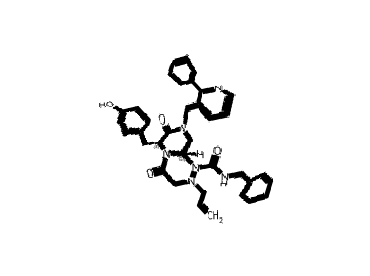 C=CCN1CC(=O)N2[C@@H](Cc3ccc(O)cc3)C(=O)N(Cc3cccnc3-c3ccccc3)C[C@@H]2N1C(=O)NCc1ccccc1